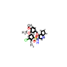 COc1ccc(COc2c(NS(=O)(=O)c3cccc(Cl)c3C)cnc3c2CCC3)cc1OC